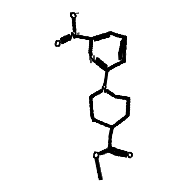 COC(=O)C1CCN(c2cccc([N+](=O)[O-])n2)CC1